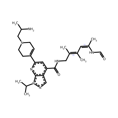 C/C(=C/C(C)=C(\C)CNC(=O)c1cc(C2=CCN(CC(C)N)CC2)nc2c1cnn2C(C)C)NC=O